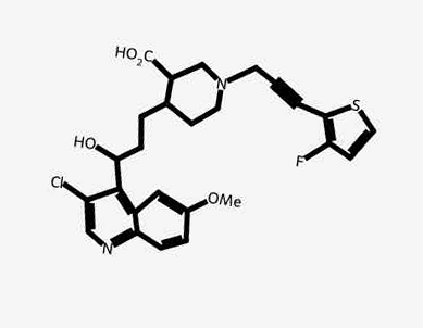 COc1ccc2ncc(Cl)c(C(O)CCC3CCN(CC#Cc4sccc4F)CC3C(=O)O)c2c1